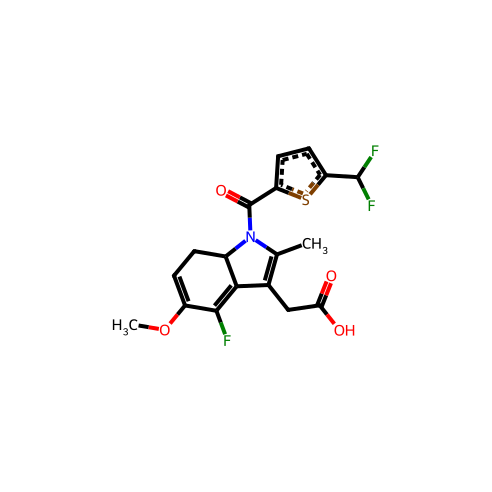 COC1=CCC2C(=C1F)C(CC(=O)O)=C(C)N2C(=O)c1ccc(C(F)F)s1